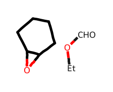 C1CCC2OC2C1.CCOC=O